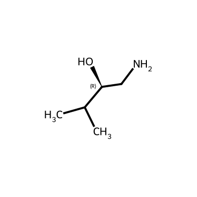 CC(C)[C@@H](O)CN